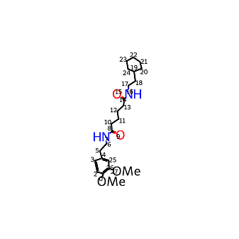 COc1ccc(CCNC(=O)CCCCC(=O)NCCC2CCCCC2)cc1OC